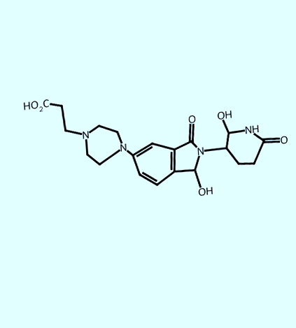 O=C(O)CCN1CCN(c2ccc3c(c2)C(=O)N(C2CCC(=O)NC2O)C3O)CC1